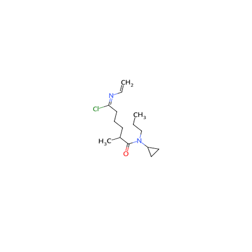 C=C/N=C(/Cl)CCCC(C)C(=O)N(CCC)C1CC1